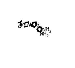 CC(C)C(=O)N1CCN(c2ccc(Sc3ccc(N)c(N)c3)cc2)CC1